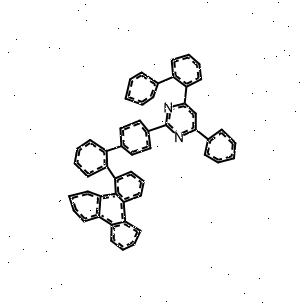 c1ccc(-c2cc(-c3ccccc3-c3ccccc3)nc(-c3ccc(-c4ccccc4-c4cccc5c6ccccc6c6ccccc6c45)cc3)n2)cc1